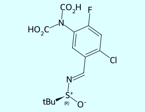 CC(C)(C)[S@+]([O-])N=Cc1cc(N(C(=O)O)C(=O)O)c(F)cc1Cl